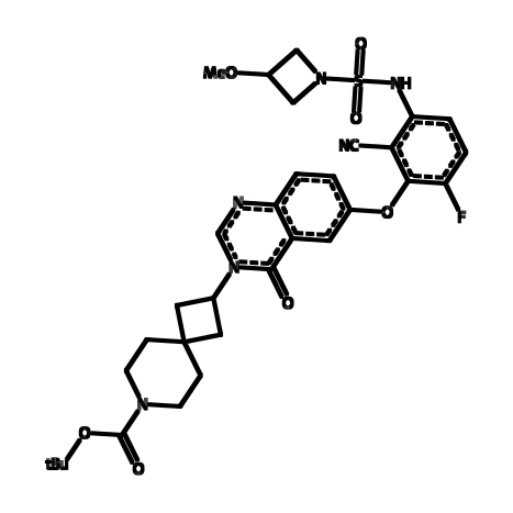 COC1CN(S(=O)(=O)Nc2ccc(F)c(Oc3ccc4ncn(C5CC6(CCN(C(=O)OC(C)(C)C)CC6)C5)c(=O)c4c3)c2C#N)C1